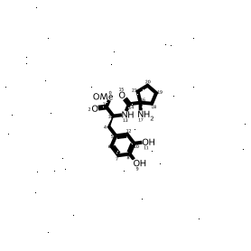 COC(=O)[C@H](Cc1ccc(O)c(O)c1)NC(=O)C1(N)CCCC1